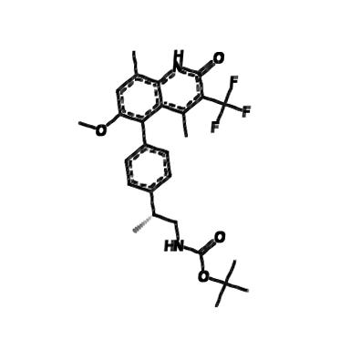 COc1cc(C)c2[nH]c(=O)c(C(F)(F)F)c(C)c2c1-c1ccc([C@@H](C)CNC(=O)OC(C)(C)C)cc1